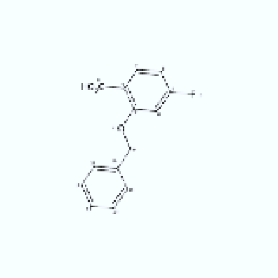 O=C(O)c1ccc(F)cc1OCc1ccccc1